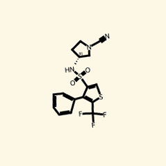 N#CN1CC[C@@H](NS(=O)(=O)c2csc(C(F)(F)F)c2-c2ccccc2)C1